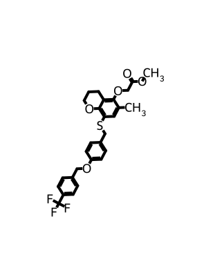 COC(=O)COc1c(C)cc(SCc2ccc(OCc3ccc(C(F)(F)F)cc3)cc2)c2c1CCCO2